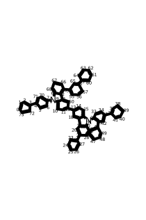 c1ccc(-c2ccc(-n3c4ccc(-c5ccc6c(c5)c5cc(-c7ccccc7)ccc5n6-c5ccc(-c6ccccc6)cc5-c5ccccc5)cc4c4c(-c5cccc(-c6ccccc6)c5)cccc43)cc2)cc1